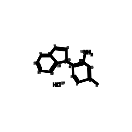 Cc1ccc(-n2ccc3ccccc32)c(N)c1.Cl